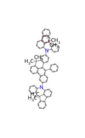 CC1(C)c2ccccc2-c2cccc(N(c3ccccc3)c3ccc4c(-c5ccccc5)c5c6c(cccc6c4c3)C(C)(C)c3cc(N(c4ccccc4-c4ccccc4)c4cccc6c4C(C)(C)c4ccccc4-6)ccc3-5)c21